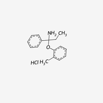 CCC(N)(Oc1ccccc1C)c1ccccc1.Cl